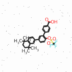 CC1(C)CCC(C)(C)c2cc(-c3ccc(OS(=O)(=O)C(F)(F)F)c(-c4ccc(C(=O)O)cc4)c3)ccc21